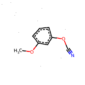 COc1cccc(OC#N)c1